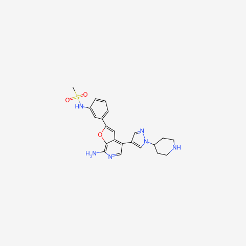 CS(=O)(=O)Nc1cccc(-c2cc3c(-c4cnn(C5CCNCC5)c4)cnc(N)c3o2)c1